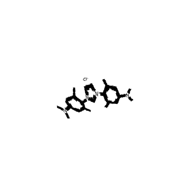 Cc1cc(N(C)C)cc(C)c1-n1cc[n+](-c2c(C)cc(N(C)C)cc2C)c1.[Cl-]